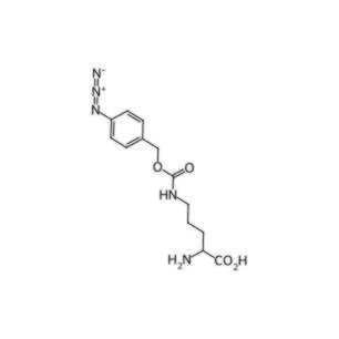 [N-]=[N+]=Nc1ccc(COC(=O)NCCCC(N)C(=O)O)cc1